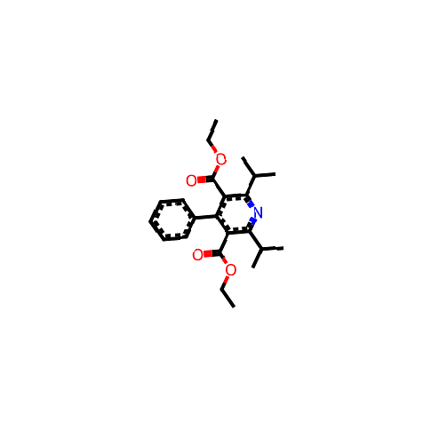 CCOC(=O)c1c(C(C)C)nc(C(C)C)c(C(=O)OCC)c1-c1ccccc1